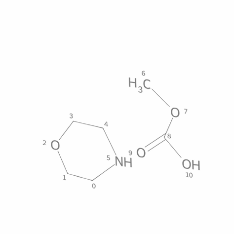 C1COCCN1.COC(=O)O